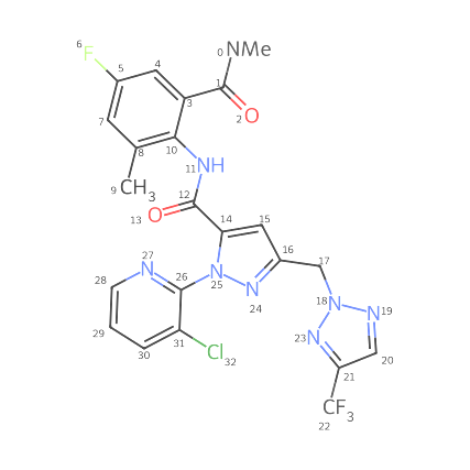 CNC(=O)c1cc(F)cc(C)c1NC(=O)c1cc(Cn2ncc(C(F)(F)F)n2)nn1-c1ncccc1Cl